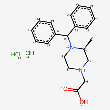 C[C@H]1CN(CC(=O)O)CCN1C(c1ccccc1)c1ccccc1.Cl.Cl